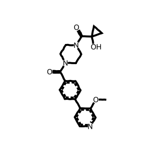 COc1cnccc1-c1ccc(C(=O)N2CCN(C(=O)C3(O)CC3)CC2)cc1